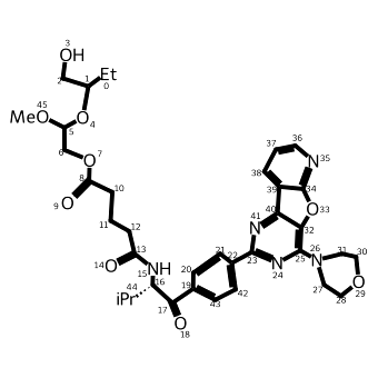 CCC(CO)OC(COC(=O)CCCC(=O)N[C@H](C(=O)c1ccc(-c2nc(N3CCOCC3)c3oc4ncccc4c3n2)cc1)C(C)C)OC